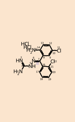 Cl.Cl.N=C(N)N/N=C(/c1cc(Cl)ccc1N)c1ccccc1Cl